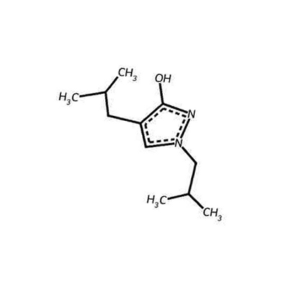 CC(C)Cc1cn(CC(C)C)nc1O